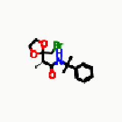 C[C@@H](C(=O)NC(C)(C)c1ccccc1)C1(CBr)OCCO1